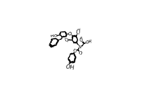 O=C(O)CN(C(=O)Oc1ccc(O)cc1)c1cc(Cl)c(Oc2ccc(O)c(Cc3ccccc3)c2)c(Cl)c1